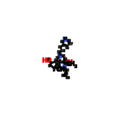 Cc1ccc(O)cc1C12CCN(CCCc3cccnc3)CCC1(O)C(C)N(CC1CC1)CC2